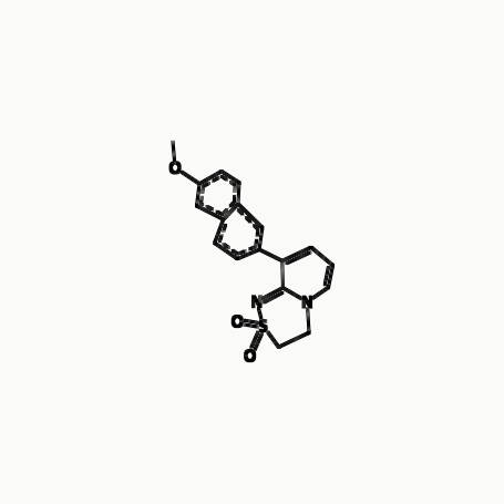 COc1ccc2cc(C3=CC=CN4CCS(=O)(=O)N=C34)ccc2c1